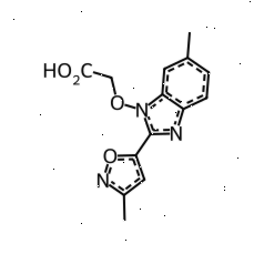 Cc1ccc2nc(-c3cc(C)no3)n(OCC(=O)O)c2c1